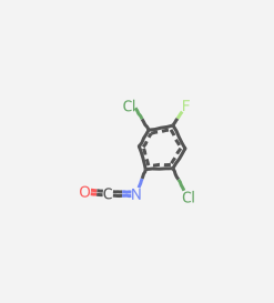 O=C=Nc1cc(Cl)c(F)cc1Cl